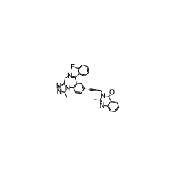 Cc1nnc2n1-c1ccc(C#CCn3c(C)nc4ccccc4c3=O)cc1C(c1ccccc1F)=NC2